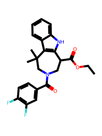 CCOC(=O)C1CN(C(=O)c2ccc(F)c(F)c2)CC(C)(C)c2c1[nH]c1ccccc21